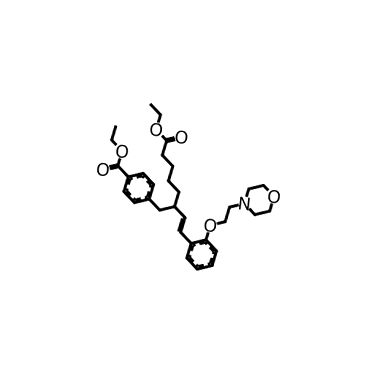 CCOC(=O)CCCCC(/C=C/c1ccccc1OCCN1CCOCC1)Cc1ccc(C(=O)OCC)cc1